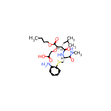 CCCCOC(=O)[C@H](OCC(=O)O)[C@H](CC(C)C)C(=O)N[C@@H](CSc1ccccc1N)C(=O)NC